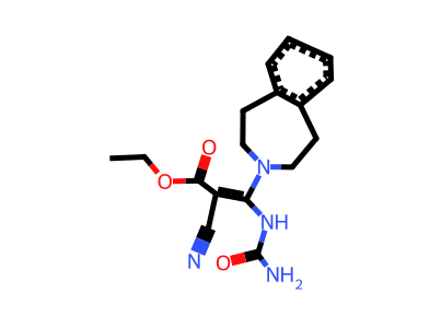 CCOC(=O)C(C#N)=C(NC(N)=O)N1CCc2ccccc2CC1